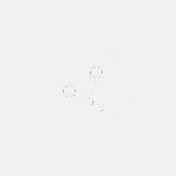 COc1ccc(CON(Cc2ccc(OC)cc2OC)C(=O)C[C@@H](CC(C)C)C(=O)O)cc1